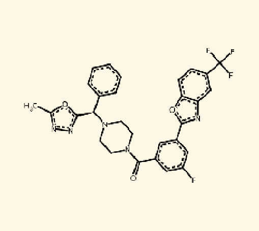 Cc1nnc([C@@H](c2ccccc2)N2CCN(C(=O)c3cc(F)cc(-c4nc5cc(C(F)(F)F)ccc5o4)c3)CC2)o1